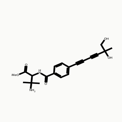 COC(=O)C(NC(=O)c1ccc(C#CC#CC(C)(O)CO)cc1)C(C)(C)N